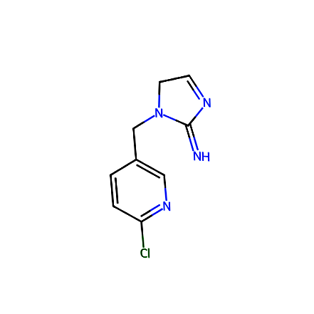 N=C1N=CCN1Cc1ccc(Cl)nc1